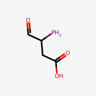 O=CC(P)CC(=O)O